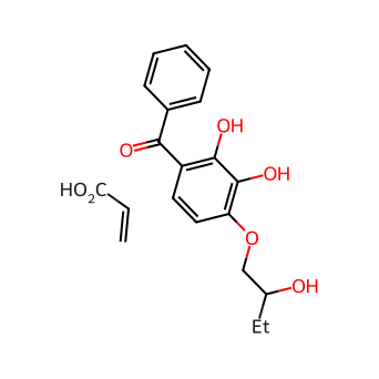 C=CC(=O)O.CCC(O)COc1ccc(C(=O)c2ccccc2)c(O)c1O